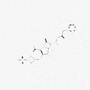 CC(NC(=O)Cn1cnnn1)[C@H]1C(=O)N2C(C(=O)O)=C(SC3CN(S(N)(=O)=O)C3)[C@H](C)[C@H]12